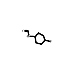 O=CNC1CCC(F)CC1